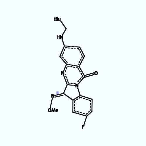 CO/N=C1\c2cc(F)ccc2-n2c1nc1cc(NCC(C)(C)C)ccc1c2=O